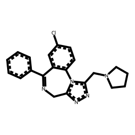 Clc1ccc2c(c1)C(c1ccccc1)=NCc1nnc(CN3CCCC3)n1-2